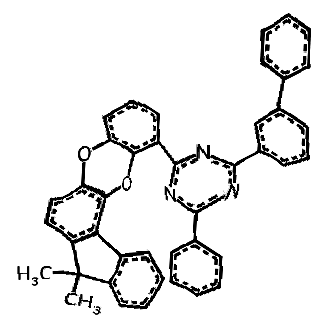 CC1(C)c2ccccc2-c2c1ccc1c2Oc2c(cccc2-c2nc(-c3ccccc3)nc(-c3cccc(-c4ccccc4)c3)n2)O1